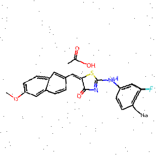 CC(=O)O.COc1ccc2cc(C=C3SC(Nc4cc[c]([Na])c(F)c4)=NC3=O)ccc2c1